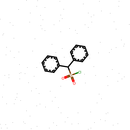 O=S(=O)(Cl)C(c1ccccc1)c1ccccc1